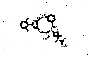 COC(=O)N(C)C1(C)CC(N2C(=O)c3cccc(c3)S(=O)(=O)Nc3nc(cc(-c4c(C)cccc4C)n3)OC[C@H]2CC(C)(C)C)C1